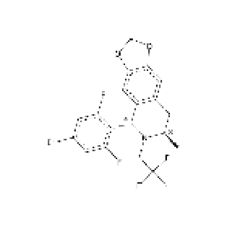 C[C@@H]1Cc2cc3c(cc2[C@@H](c2c(F)cc(Br)cc2F)N1CC(C)(F)F)OCO3